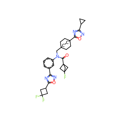 O=C(N(CC12CCC(c3nc(C4CC4)no3)(CC1)CC2)c1cccc(-c2noc(C3CC(F)(F)C3)n2)c1)C12CC(F)(C1)C2